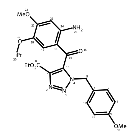 CCOC(=O)c1nnn(Cc2ccc(OC)cc2)c1C(=O)c1cc(OC(C)C)c(OC)cc1N